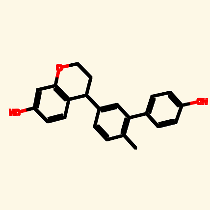 Cc1ccc(C2CCOc3cc(O)ccc32)cc1-c1ccc(O)cc1